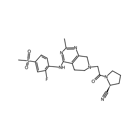 Cc1nc2c(c(Nc3ccc(S(C)(=O)=O)cc3F)n1)CCN(CC(=O)N1CCC[C@H]1C#N)C2